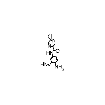 N=Cc1cc(NC(=O)c2cnc(Cl)cn2)ccc1N